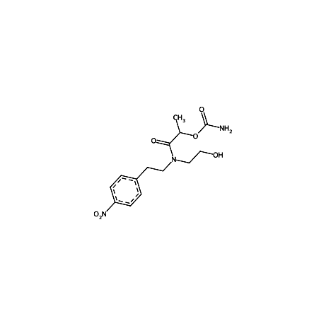 CC(OC(N)=O)C(=O)N(CCO)CCc1ccc([N+](=O)[O-])cc1